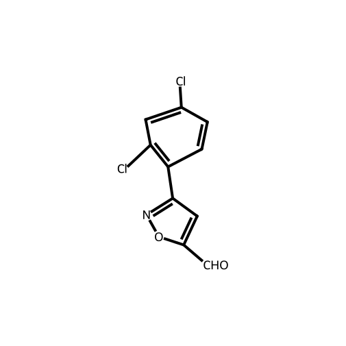 O=Cc1cc(-c2ccc(Cl)cc2Cl)no1